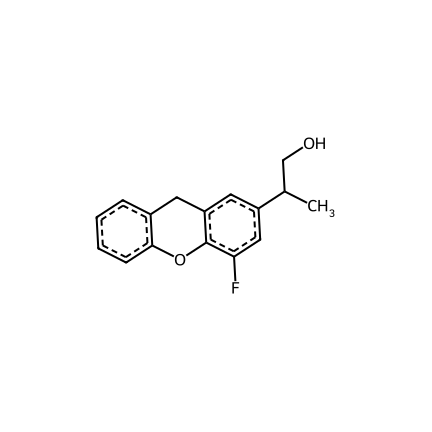 CC(CO)c1cc(F)c2c(c1)Cc1ccccc1O2